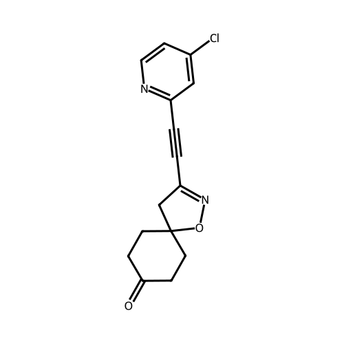 O=C1CCC2(CC1)CC(C#Cc1cc(Cl)ccn1)=NO2